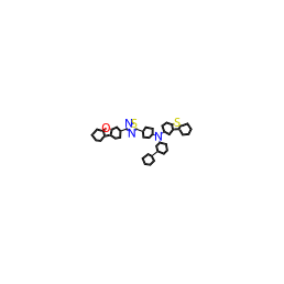 c1ccc(-c2cccc(N(c3ccc(-c4nc(-c5ccc6c(c5)oc5ccccc56)ns4)cc3)c3ccc4sc5ccccc5c4c3)c2)cc1